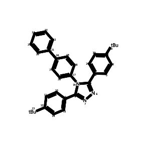 CC(C)(C)c1ccc(-c2nnc(-c3ccc(C(C)(C)C)cc3)n2-c2ccc(-c3ccccc3)cc2)cc1